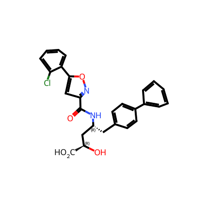 O=C(N[C@H](Cc1ccc(-c2ccccc2)cc1)C[C@@H](O)C(=O)O)c1cc(-c2ccccc2Cl)on1